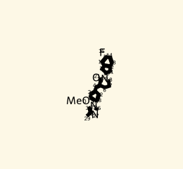 COc1cc(/C=C2\CCCN(C3Cc4ccc(F)cc4C3)C2=O)ccc1-n1cnc(C)c1